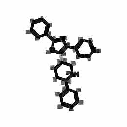 c1ccc(-c2nc(-c3ccncc3)c([C@H]3CC[C@H](c4ccccc4)NC3)o2)cc1